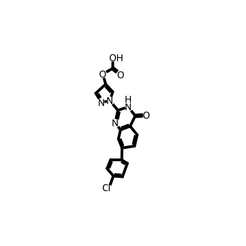 O=C(O)Oc1cnn(-c2nc3cc(-c4ccc(Cl)cc4)ccc3c(=O)[nH]2)c1